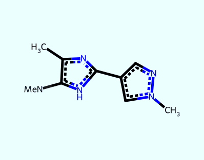 CNc1[nH]c(-c2cnn(C)c2)nc1C